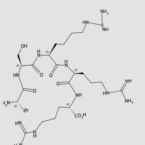 CC(C)[C@H](N)C(=O)N[C@@H](CO)C(=O)N[C@@H](CCCCNC(=N)N)C(=O)N[C@@H](CCCNC(=N)N)C(=O)N[C@@H](CCCNC(=N)N)C(=O)O